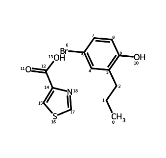 CCCc1cc(Br)ccc1O.O=C(O)c1cscn1